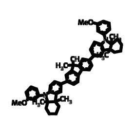 COc1cccc(N2c3ccc(-c4ccc5c(c4)C(C)(C)c4cc(-c6ccc7c(c6)C6(C)CCCCC6(C)N7c6cccc(OC)c6)ccc4-5)cc3C3(C)CCCCC23C)c1